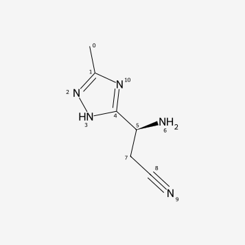 Cc1n[nH]c([C@@H](N)CC#N)n1